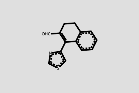 O=CC1=C(c2cscn2)c2ccccc2CC1